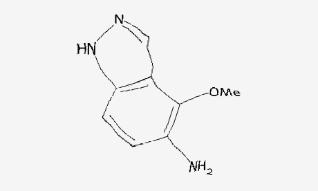 COc1c(N)ccc2[nH]ncc12